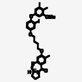 COc1cc(Oc2ccc(OCCCCOc3cc4c(cc3C)C(=O)N3CCC[C@H]3C=N4)cc2I)cc(C)c1C